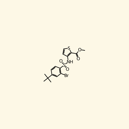 COC(=O)c1sccc1NS(=O)(=O)c1ccc(C(C)(C)C)cc1Br